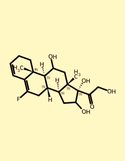 C[C@]12CCC=CC1=C(F)C[C@@H]1[C@@H]2C(O)C[C@@]2(C)[C@H]1CC(O)[C@]2(O)C(=O)CO